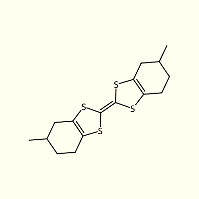 CC1CCC2=C(C1)S/C(=C1/SC3=C(CC(C)CC3)S1)S2